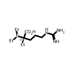 CCN(CC)[C@@](CC)(CCCNC(=N)N)C(=O)O